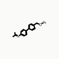 CC(C)=Nc1ccc(-c2ccc(COC(C)C)cc2)cc1